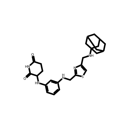 O=C1CCC(Nc2cccc(NCc3nc(CNC45CC6CC(CC(C6)C4)C5)cs3)c2)C(=O)N1